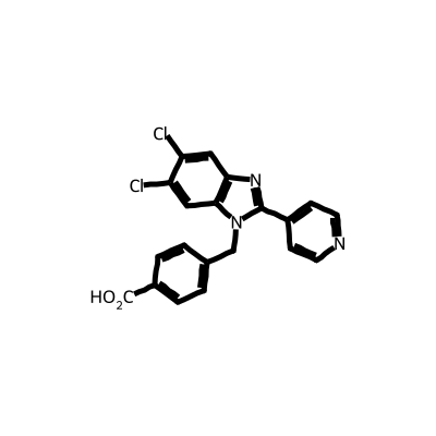 O=C(O)c1ccc(Cn2c(-c3ccncc3)nc3cc(Cl)c(Cl)cc32)cc1